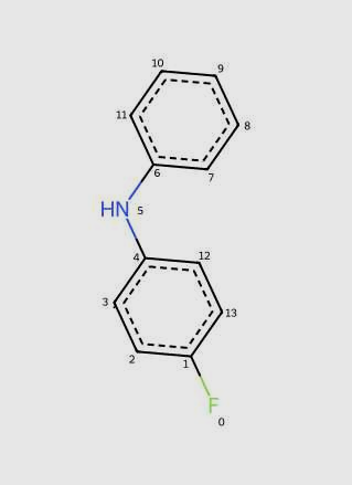 Fc1c[c]c(Nc2ccccc2)cc1